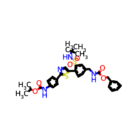 CC(C)OC(=O)Nc1ccc(-c2ncc(-c3ccc(CNC(=O)OCc4ccccc4)cc3S(=O)(=O)NC(C)(C)C)s2)cc1